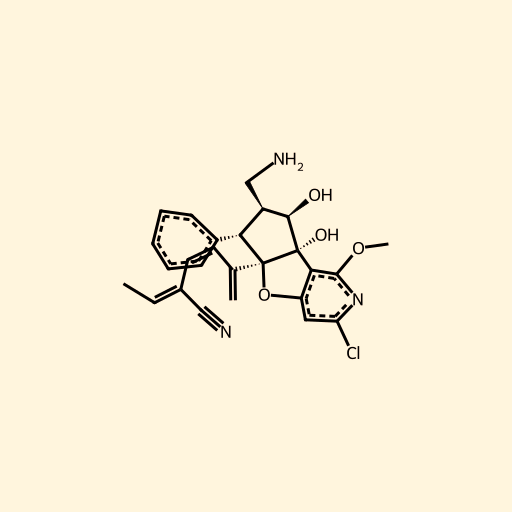 C=C(/C=C\C(C#N)=C/C)[C@@]12Oc3cc(Cl)nc(OC)c3[C@]1(O)[C@H](O)[C@H](CN)[C@H]2c1ccccc1